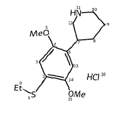 CCSc1cc(OC)c(C2CCCNC2)cc1OC.Cl